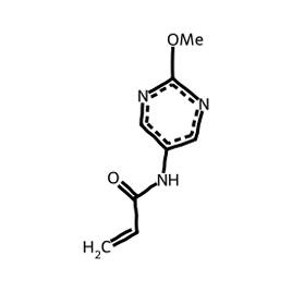 C=CC(=O)Nc1cnc(OC)nc1